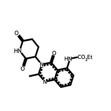 CCOC(=O)Nc1cccc2nc(C)n(C3CCC(=O)NC3=O)c(=O)c12